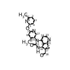 Cc1cccc(Oc2cc(C)c(N3C(=O)Nc4c(C=O)sc5nccc3c45)cn2)n1